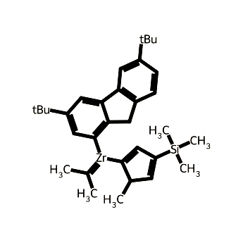 C[C](C)=[Zr]([C]1=CC([Si](C)(C)C)=CC1C)[c]1cc(C(C)(C)C)cc2c1Cc1ccc(C(C)(C)C)cc1-2